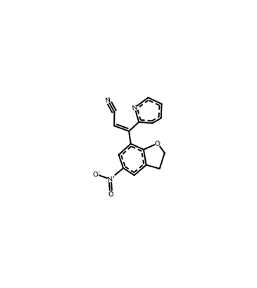 N#CC=C(c1ccccn1)c1cc([N+](=O)[O-])cc2c1OCC2